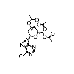 CC(=O)OC[C@H]1O[C@@H](n2cnc3c(Cl)ncnc32)C[C@@H](OC(C)=O)[C@@H]1OC(C)=O